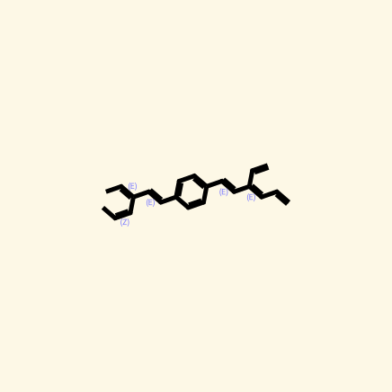 C=C/C=C(C=C)/C=C/c1ccc(/C=C/C(/C=C\C)=C/C)cc1